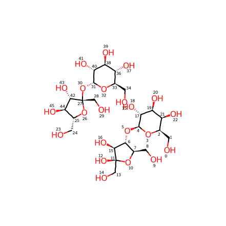 OC[C@H]1O[C@@H](O[C@@H]2[C@@H](CO)O[C@](O)(CO)[C@H]2O)[C@H](O)[C@@H](O)[C@H]1O.OC[C@H]1O[C@@](CO)(O[C@H]2O[C@H](CO)[C@@H](O)[C@H](O)[C@H]2O)[C@@H](O)[C@@H]1O